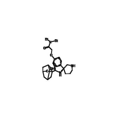 CCN(CC)C(=O)COc1ccc([C@@]2(NC(=O)C34CC5CC(C3)C(O)C(C5)C4)CCCNC2)cc1